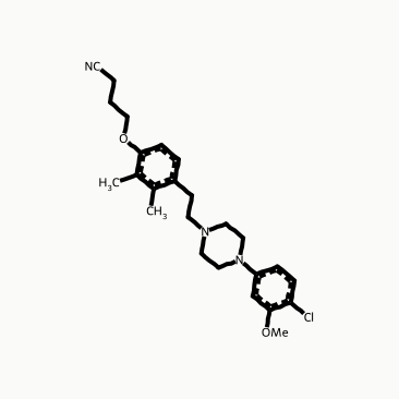 COc1cc(N2CCN(CCc3ccc(OCCCC#N)c(C)c3C)CC2)ccc1Cl